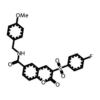 COc1ccc(CNC(=O)c2ccc3oc(=O)c(S(=O)(=O)c4ccc(F)cc4)cc3c2)cc1